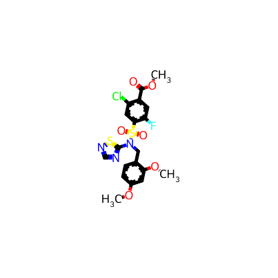 COC(=O)c1cc(F)c(S(=O)(=O)N(Cc2ccc(OC)cc2OC)c2ncns2)cc1Cl